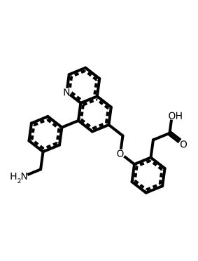 NCc1cccc(-c2cc(COc3ccccc3CC(=O)O)cc3cccnc23)c1